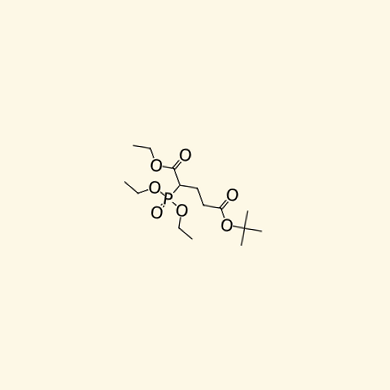 CCOC(=O)C(CCC(=O)OC(C)(C)C)P(=O)(OCC)OCC